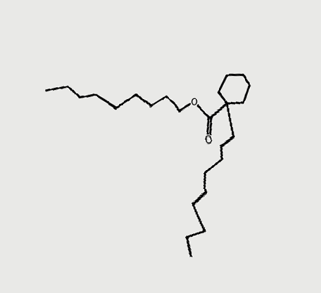 CCCCCCCCCOC(=O)C1(CCCCCCCCC)CCCCC1